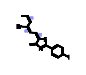 C=c1nc(-c2ccc(I)cc2)s/c1=C/C=C(Br)\C=C/C